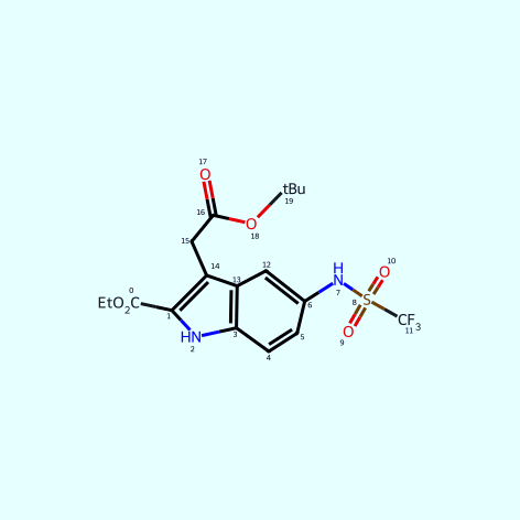 CCOC(=O)c1[nH]c2ccc(NS(=O)(=O)C(F)(F)F)cc2c1CC(=O)OC(C)(C)C